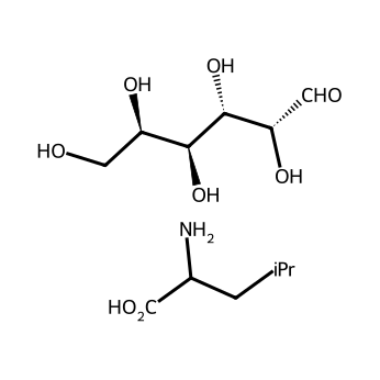 CC(C)CC(N)C(=O)O.O=C[C@H](O)[C@@H](O)[C@@H](O)[C@H](O)CO